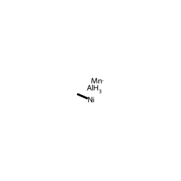 [AlH3].[CH3][Ni].[Mn]